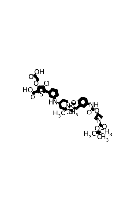 CC(C)(C)OC(=O)N1CC(OC(=O)Nc2cccc(CS(=O)(=O)N3CC[C@H](Nc4cccc(-c5sc(C(=O)O)c(OCC(=O)O)c5Cl)c4)CC3(C)C)c2)C1